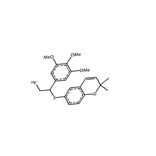 COc1cc(C(C[18F])Sc2ccc3c(c2)C=CC(C)(C)O3)cc(OC)c1OC